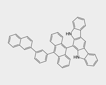 c1cc(-c2ccc3ccccc3c2)cc(-c2c3ccccc3c(-c3c4[nH]c5ccccc5c4cc4c3[nH]c3ccccc34)c3ccccc23)c1